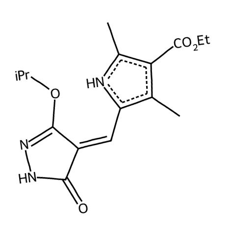 CCOC(=O)c1c(C)[nH]c(/C=C2/C(=O)NN=C2OC(C)C)c1C